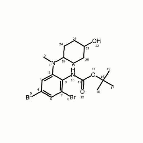 CN(c1cc(Br)cc(Br)c1NC(=O)OC(C)(C)C)C1CCC(O)CC1